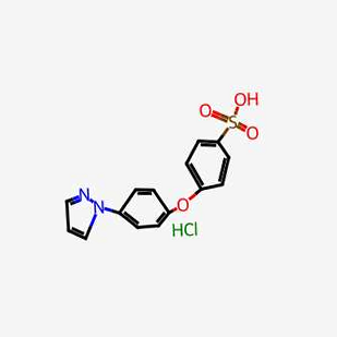 Cl.O=S(=O)(O)c1ccc(Oc2ccc(-n3cccn3)cc2)cc1